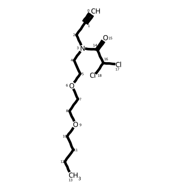 C#CCN(CCOCCOCCCC)C(=O)C(Cl)Cl